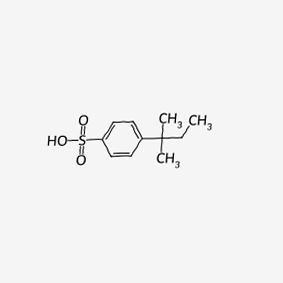 CCC(C)(C)c1ccc(S(=O)(=O)O)cc1